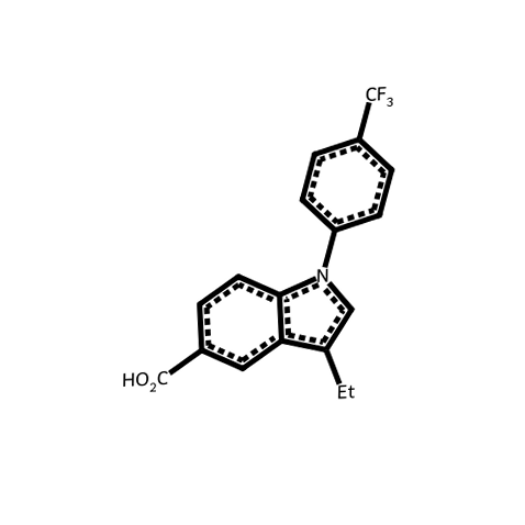 CCc1cn(-c2ccc(C(F)(F)F)cc2)c2ccc(C(=O)O)cc12